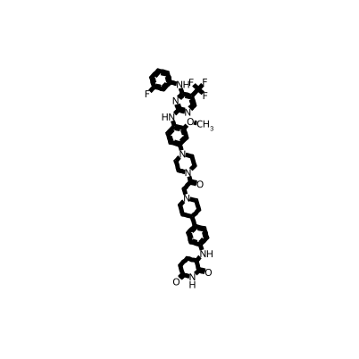 COc1cc(N2CCN(C(=O)CN3CCC(c4ccc(NC5CCC(=O)NC5=O)cc4)CC3)CC2)ccc1Nc1ncc(C(F)(F)F)c(Nc2cccc(F)c2)n1